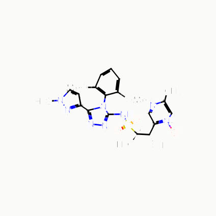 COc1cccc(OC)c1-n1c(NS(=O)(=O)[C@H](C)[C@@H](C)c2cnc(C)c[n+]2[O-])nnc1-c1ccn(C)n1